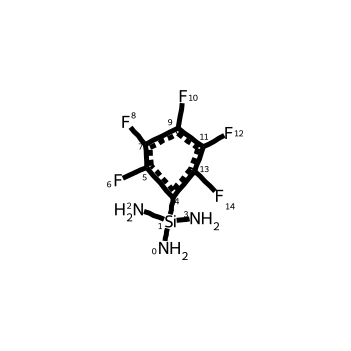 N[Si](N)(N)c1c(F)c(F)c(F)c(F)c1F